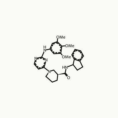 COc1cc(Nc2nccc(N3CCC[C@H](C(=O)NC4CCc5ccccc54)C3)n2)cc(OC)c1OC